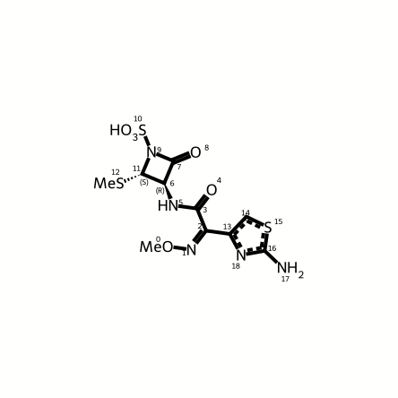 CON=C(C(=O)N[C@@H]1C(=O)N(S(=O)(=O)O)[C@H]1SC)c1csc(N)n1